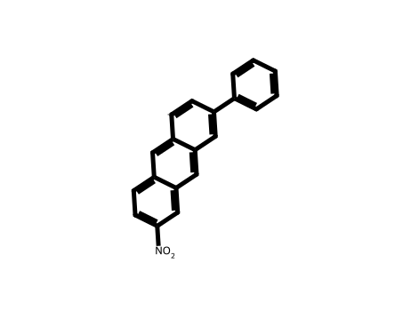 O=[N+]([O-])c1ccc2cc3[c]cc(-c4ccccc4)cc3cc2c1